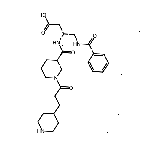 O=C(O)CC(CNC(=O)c1ccccc1)NC(=O)[C@@H]1CCCN(C(=O)CCC2CCNCC2)C1